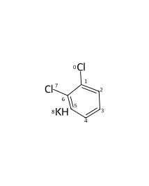 Clc1ccccc1Cl.[KH]